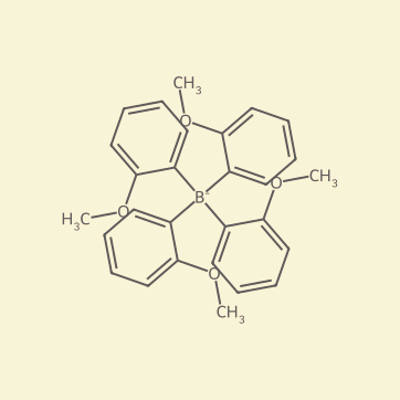 COc1ccccc1[B-](c1ccccc1OC)(c1ccccc1OC)c1ccccc1OC